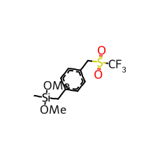 CO[Si](C)(Cc1ccc(CS(=O)(=O)C(F)(F)F)cc1)OC